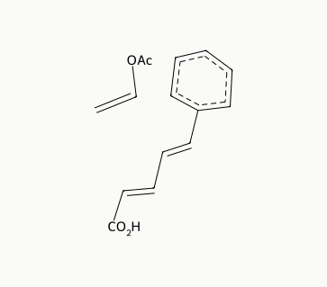 C=COC(C)=O.O=C(O)C=CC=Cc1ccccc1